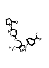 Cc1nnn(-c2ccc(C(F)F)cc2)c1COc1ccc(N2CCCC2=O)nn1